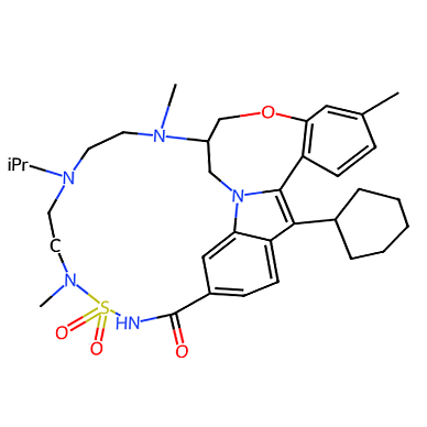 Cc1ccc2c(c1)OCC1Cn3c-2c(C2CCCCC2)c2ccc(cc23)C(=O)NS(=O)(=O)N(C)CCN(C(C)C)CCN1C